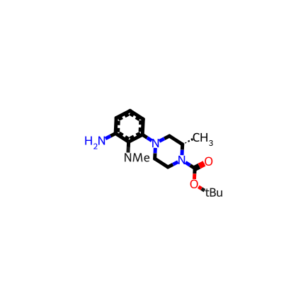 CNc1c(N)cccc1N1CCN(C(=O)OC(C)(C)C)[C@@H](C)C1